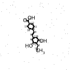 CCCc1c(O)cc(C=Cc2ccc(C(=O)O)cc2)cc1O